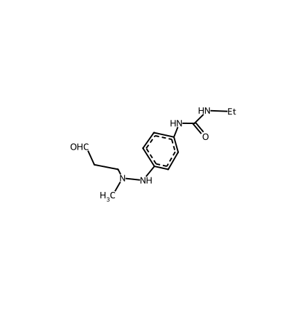 CCNC(=O)Nc1ccc(NN(C)CCC=O)cc1